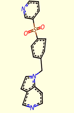 O=S(=O)(c1ccc(Cn2ccc3cnccc32)cc1)c1cccnc1